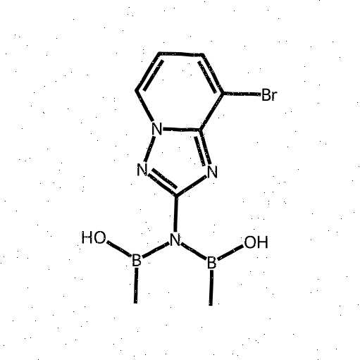 CB(O)N(B(C)O)c1nc2c(Br)cccn2n1